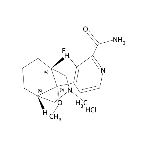 CO[C@@]1(c2ccnc(C(N)=O)c2F)[C@@H]2CCC[C@H]1CN(C)C2.Cl